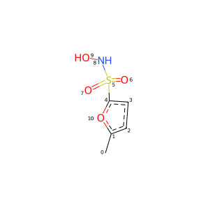 Cc1ccc(S(=O)(=O)NO)o1